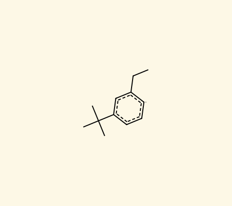 CCc1[c]ccc(C(C)(C)C)c1